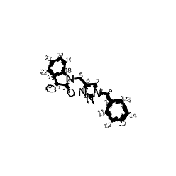 O=C1C(=O)N(Cc2cn(Cc3ccccc3)nn2)c2ccccc21